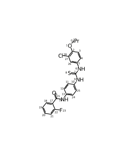 CC(C)Oc1ccc(NC(=S)Nc2ccc(NC(=O)c3ccccc3F)cc2)cc1Cl